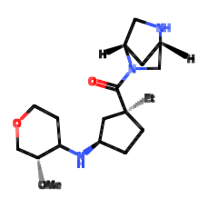 CC[C@]1(C(=O)N2C[C@@H]3C[C@H]2CN3)CC[C@@H](NC2CCOC[C@H]2OC)C1